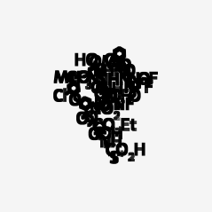 CCOC(=O)C(C)OC(=O)c1cc(Oc2ccc(C(F)(F)F)cc2Cl)ccc1[N+](=O)[O-].COc1cc(OC)nc(NC(=O)NS(=O)(=O)c2ncccc2C(=O)N(C)C)n1.C[S+](C)C.O=C(Nc1nc(OC(F)F)cc(OC(F)F)n1)NS(=O)(=O)c1ccccc1C(=O)O.O=C(O)CNCP(=O)([O-])O